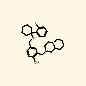 Oc1ccc(CNC2(c3ccccc3F)CCCCC2)cc1CN1CCN2CCCCC2C1